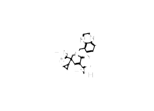 CNC(=O)C1=CC(C(N)=O)(C2CC2)CN(Cc2cccc3nccnc23)C1=O